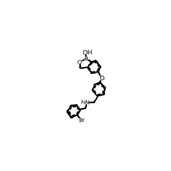 OB1OCc2cc(Oc3ccc(CNCc4ccccc4Br)cc3)ccc21